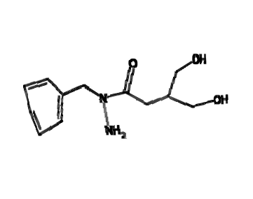 NN(Cc1ccccc1)C(=O)CC(CO)CO